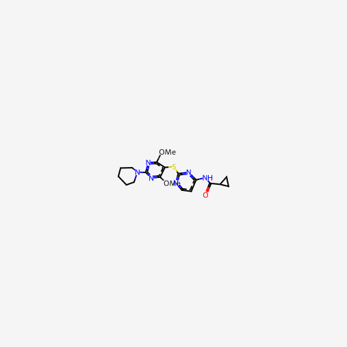 COc1nc(N2CCCCC2)nc(OC)c1Sc1nccc(NC(=O)C2CC2)n1